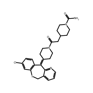 NC(=O)N1CCC(CC(=O)N2CCC(=C3c4ccc(Cl)cc4SCc4cccnc43)CC2)CC1